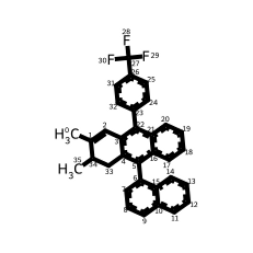 CC1=Cc2c(c(-c3cccc4ccccc34)c3ccccc3c2-c2ccc(C(F)(F)F)cc2)CC1C